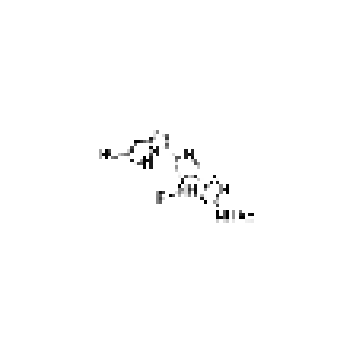 CC(=O)Nc1nnc(-c2cnc(-c3ccc4cc(C#N)cnn34)cc2NC(C)C)s1